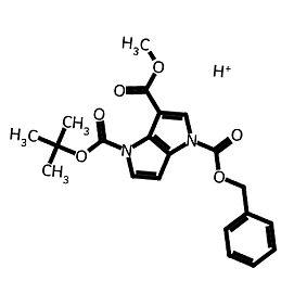 COC(=O)c1cn(C(=O)OCc2ccccc2)c2ccn(C(=O)OC(C)(C)C)c12.[H+]